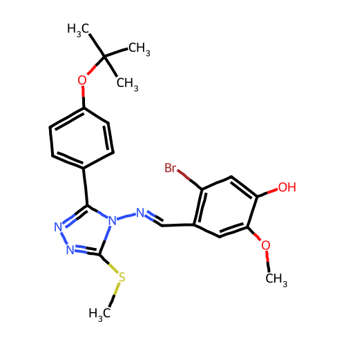 COc1cc(/C=N/n2c(SC)nnc2-c2ccc(OC(C)(C)C)cc2)c(Br)cc1O